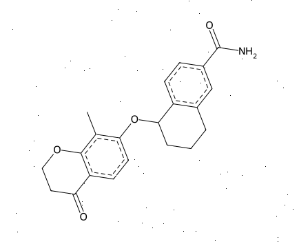 Cc1c(OC2CCCc3cc(C(N)=O)ccc32)ccc2c1OCCC2=O